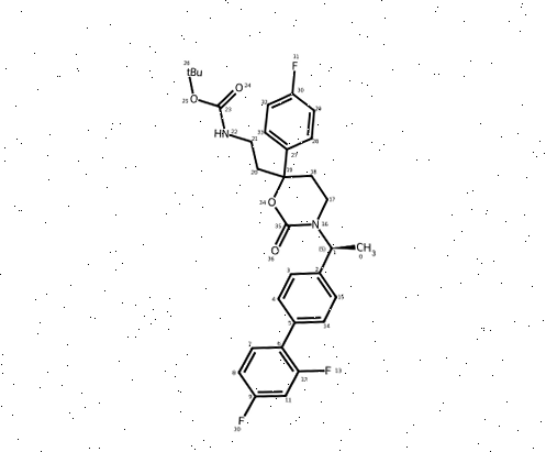 C[C@@H](c1ccc(-c2ccc(F)cc2F)cc1)N1CCC(CCNC(=O)OC(C)(C)C)(c2ccc(F)cc2)OC1=O